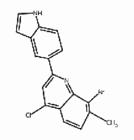 Cc1ccc2c(Cl)cc(-c3ccc4[nH]ccc4c3)nc2c1Br